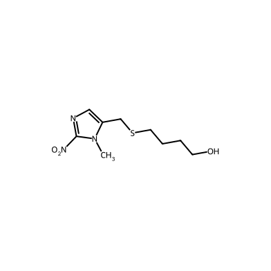 Cn1c(CSCCCCO)cnc1[N+](=O)[O-]